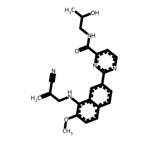 C=C(C#N)CNc1c(OC)ccc2ccc(-c3nccc(C(=O)NCC(C)O)n3)cc12